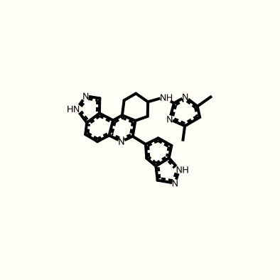 Cc1cc(C)nc(NC2CCc3c(c(-c4ccc5[nH]ncc5c4)nc4ccc5[nH]ncc5c34)C2)n1